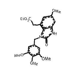 CCOC(=O)Cc1cc(OC)cc2[nH]c(=O)n(Cc3cc(OC)c(OC)c(OC)c3)c12